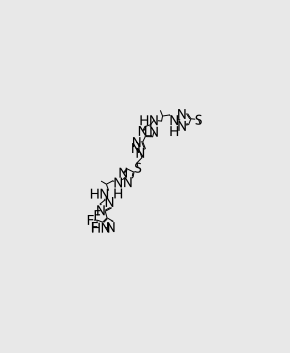 CSc1cnc(NCC(C)CNc2cnc(-c3cn(CCSc4cnc(NCC(C)CNc5cnc(-c6cn[nH]c6C(F)(F)F)cn5)nc4)nn3)cn2)nc1